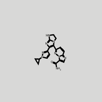 NC(=O)c1cnc2ccc(-c3c(-c4ccn(C5CC5)n4)nc4n3CCN4)nn12